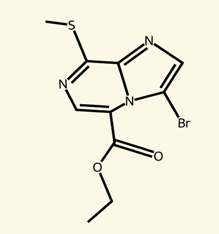 CCOC(=O)c1cnc(SC)c2ncc(Br)n12